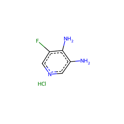 Cl.Nc1cncc(F)c1N